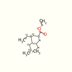 C=COC(=O)C(CCCC)CC(CC)CCCC